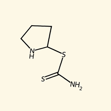 NC(=S)SC1CCCN1